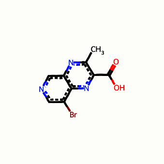 Cc1nc2cncc(Br)c2nc1C(=O)O